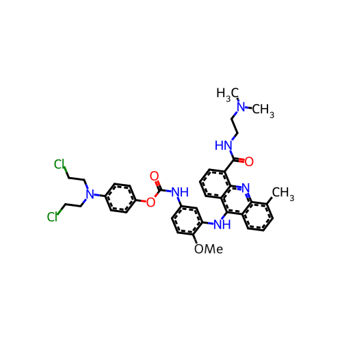 COc1ccc(NC(=O)Oc2ccc(N(CCCl)CCCl)cc2)cc1Nc1c2cccc(C)c2nc2c(C(=O)NCCN(C)C)cccc12